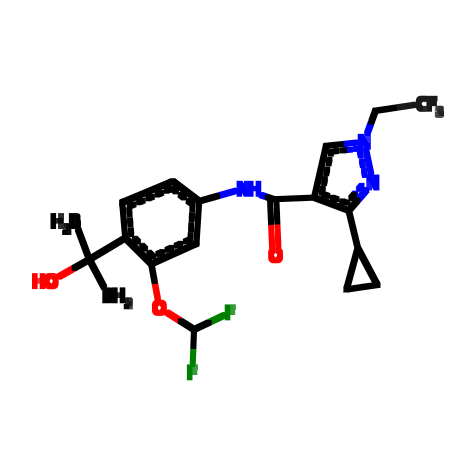 BC(B)(O)c1ccc(NC(=O)c2cn(CC(F)(F)F)nc2C2CC2)cc1OC(F)F